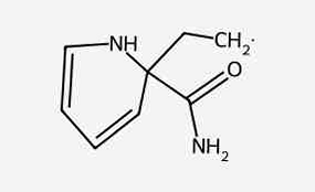 [CH2]CC1(C(N)=O)C=CC=CN1